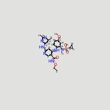 CCONC(=O)c1cnc(Nc2cc(C)nc(C)n2)cc1Nc1ccc(OC)cc1N(C)S(=O)(=O)C1CC1